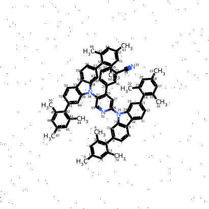 Cc1cc(C)c(-c2ccc3c4ccc(-c5c(C)cc(C)cc5C)cc4n(-c4cc(-c5cccc(C#N)c5)c(-n5c6cc(-c7c(C)cc(C)cc7C)ccc6c6ccc(-c7c(C)cc(C)cc7C)cc65)cn4)c3c2)c(C)c1